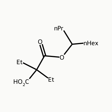 CCCCCCC(CCC)OC(=O)C(CC)(CC)C(=O)O